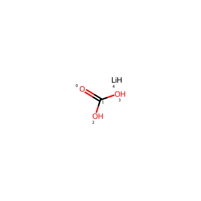 O=C(O)O.[LiH]